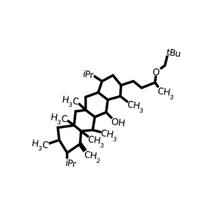 C=C1C(C(C)C)C(C)CC2(C)CC3(C)CC4C(C(C)C)CC(CCC(C)OCC(C)(C)C)C(C)C4C(O)C3C(C)C12C